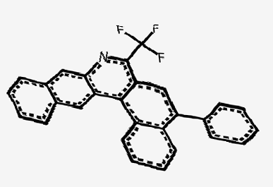 FC(F)(F)c1nc2cc3ccccc3cc2c2c1cc(-c1ccccc1)c1ccccc12